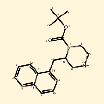 CC(C)(C)OC(=O)N1CCNCC1Cc1cccc2ccccc12